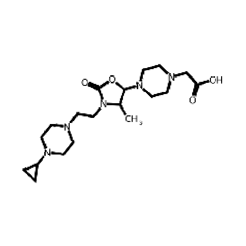 CC1C(N2CCN(CC(=O)O)CC2)OC(=O)N1CCN1CCN(C2CC2)CC1